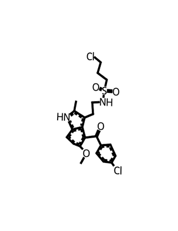 COc1ccc2[nH]c(C)c(CCNS(=O)(=O)CCCCl)c2c1C(=O)c1ccc(Cl)cc1